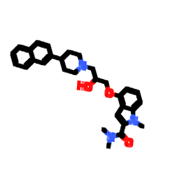 CN(C)C(=O)c1cc2c(OCC(O)CN3CCC(c4ccc5ccccc5c4)CC3)cccc2n1C